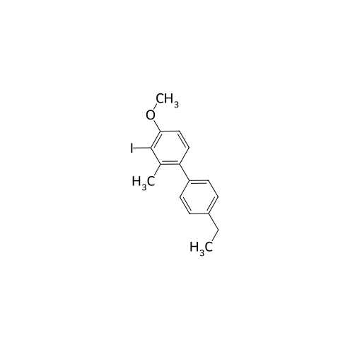 CCc1ccc(-c2ccc(OC)c(I)c2C)cc1